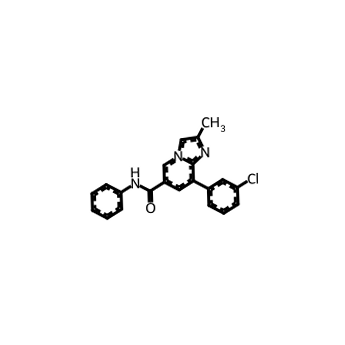 Cc1cn2cc(C(=O)Nc3ccccc3)cc(-c3cccc(Cl)c3)c2n1